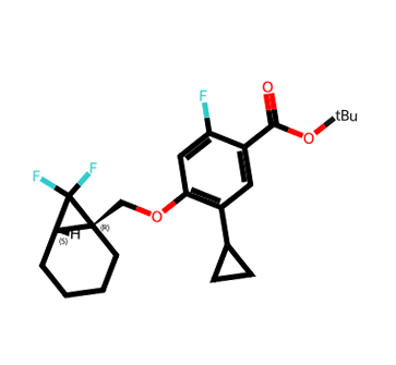 CC(C)(C)OC(=O)c1cc(C2CC2)c(OC[C@@]23CCCC[C@@H]2C3(F)F)cc1F